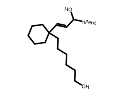 CCCCCC(O)C=CC1(CCCCCCO)CCCCC1